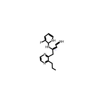 CCCc1nccnc1C/C(=C/C=N)NC1NC=CC=C1F